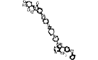 Nc1ncnc2c1c(-c1ccc(Oc3ccccc3)cc1)nn2C1CCN(C2CCC3(CC2)CN(C2CCC4(CC2)CN(c2ccc5c(c2)C(=O)N(C2CCC(=O)NC2=O)C5=O)C4)C3)CC1